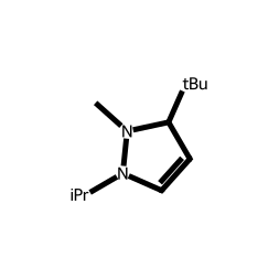 CC(C)N1C=CC(C(C)(C)C)N1C